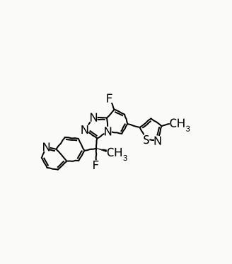 Cc1cc(-c2cc(F)c3nnc([C@](C)(F)c4ccc5ncccc5c4)n3c2)sn1